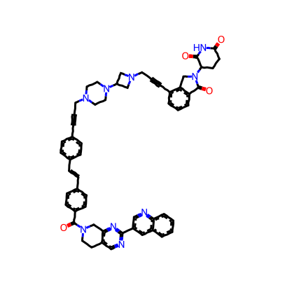 O=C1CCC(N2Cc3c(C#CCN4CC(N5CCN(CC#Cc6ccc(/C=C/c7ccc(C(=O)N8CCc9cnc(-c%10cnc%11ccccc%11c%10)nc9C8)cc7)cc6)CC5)C4)cccc3C2=O)C(=O)N1